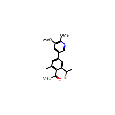 COC(=O)c1c(C)cc(-c2cnc(OC)c(OC)c2)cc1C(C)Br